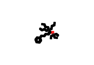 CCC[CH2][Sn]([CH2]CCC)([CH2]CCC)[C](=CCCCc1ccccc1)O[Si](CC)(CC)CC